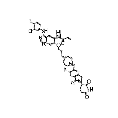 C=CC(=O)Nc1cc2c(Nc3ccc(F)c(Cl)c3)ncnc2cc1OCCCN1CCN(Cc2cc3c(cc2F)C(=O)N(C2CCC(=O)NC2=O)C3)CC1